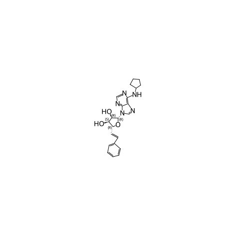 O[C@@H]1[C@H](O)[C@@H](C=Cc2ccccc2)O[C@H]1n1cnc2c(NC3CCCC3)ncnc21